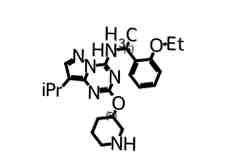 CCOc1ccccc1[C@H](C)Nc1nc(O[C@@H]2CCCNC2)nc2c(C(C)C)cnn12